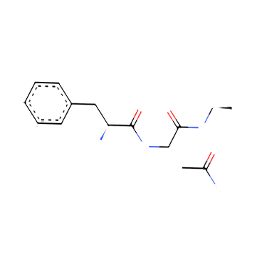 CC[C@H](C)[C@H](NC(=O)[C@H](CC(N)=O)NC(=O)[C@@H](N)Cc1ccccc1)C(=O)O